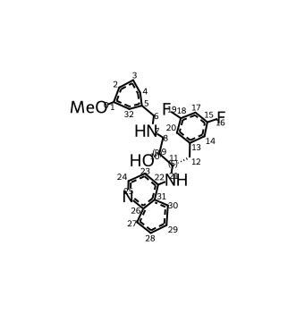 COc1cccc(CNC[C@@H](O)[C@H](Cc2cc(F)cc(F)c2)Nc2ccnc3ccccc23)c1